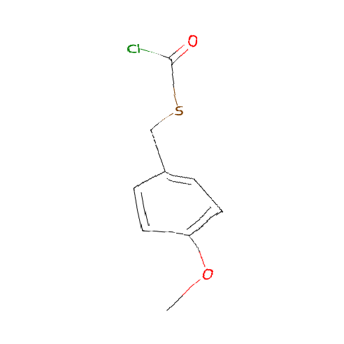 COc1ccc(CSC(=O)Cl)cc1